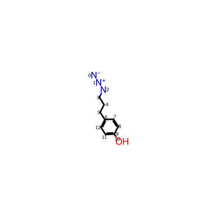 [N-]=[N+]=NCCCc1ccc(O)cc1